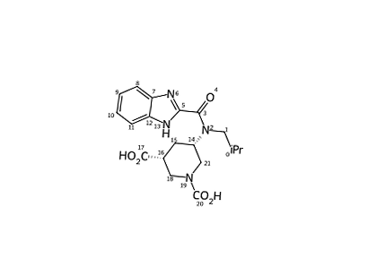 CC(C)CN(C(=O)c1nc2ccccc2[nH]1)[C@H]1C[C@@H](C(=O)O)CN(C(=O)O)C1